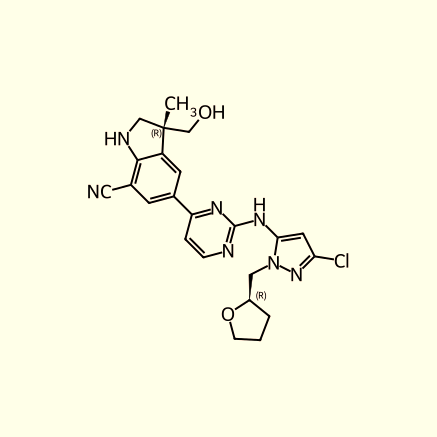 C[C@]1(CO)CNc2c(C#N)cc(-c3ccnc(Nc4cc(Cl)nn4C[C@H]4CCCO4)n3)cc21